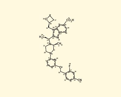 C[C@H]1CN(c2cccc(OCc3ccc(C#N)cc3F)n2)CCN1[C@@H](C)c1nc2ccc(C(=O)O)cc2n1C[C@@H]1CCO1